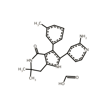 Cc1cccc(-c2c(-c3ccnc(N)c3)[nH]c3c2C(=O)NC(C)(C)C3)c1.O=CO